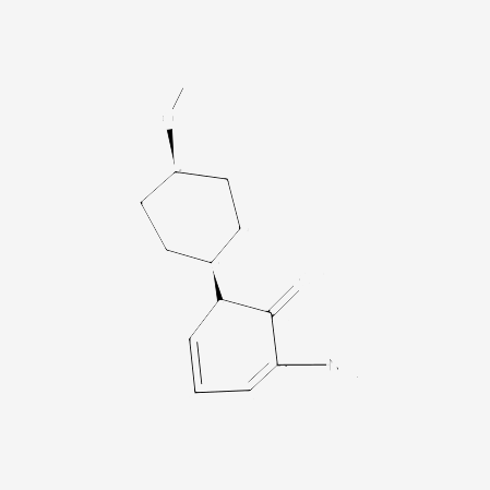 CO[C@H]1CC[C@@H](C2C=CC=C(N)C2=O)CC1